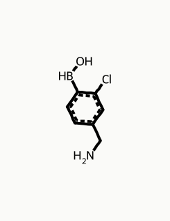 NCc1ccc(BO)c(Cl)c1